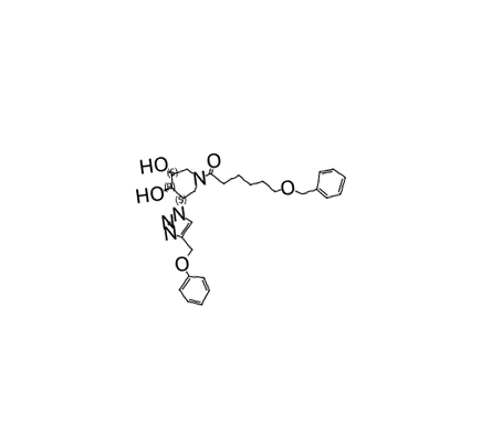 O=C(CCCCCOCc1ccccc1)N1C[C@H](O)[C@H](O)[C@@H](n2cc(COc3ccccc3)nn2)C1